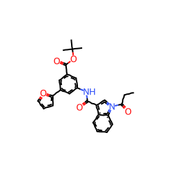 CCC(=O)n1cc(C(=O)Nc2cc(C(=O)OC(C)(C)C)cc(-c3ccco3)c2)c2ccccc21